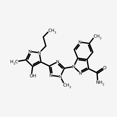 CCCn1nc(C)c(O)c1-c1nc(-n2nc(C(N)=O)c3cc(C)ncc32)n(C)n1